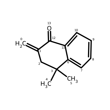 C=C1CC(C)(C)c2ccccc2C1=O